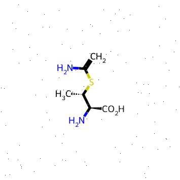 C=C(N)S[C@@H](C)[C@H](N)C(=O)O